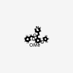 COc1ccc(C(Cc2ccncc2)OC(=O)Cc2ccccc2)cc1OC1CCCC1